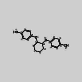 Oc1ccc(OC2CCCCC2Oc2ccc(O)cc2)cc1